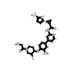 Cc1ccc([C@@H]2CC2C(=O)Nc2cc(-c3ccc(OC4CCN(C(=O)CO)CC4F)c(C#N)c3)ccn2)s1